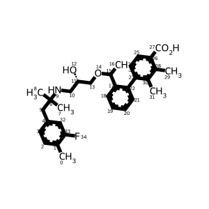 Cc1ccc(CC(C)(C)NC[C@H](O)COC(C)c2ccccc2-c2ccc(C(=O)O)c(C)c2C)cc1F